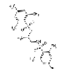 Cc1cc(C)c(S(=O)(=O)NCC(C)OS(=O)(=O)c2c(C)cc(C)cc2C)c(C)c1